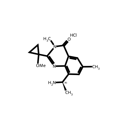 COC1(c2nc3c([C@@H](C)N)cc(C)cc3c(=O)n2C)CC1.Cl